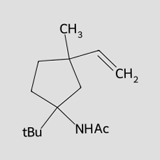 C=CC1(C)CCC(NC(C)=O)(C(C)(C)C)C1